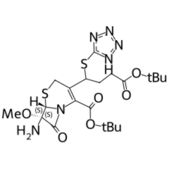 CO[C@@]1(N)C(=O)N2C(C(=O)OC(C)(C)C)=C(C(CCC(=O)OC(C)(C)C)Sc3nnn[nH]3)CS[C@H]21